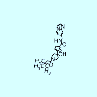 CC(C)(C)CC(=O)N1CCC(O)(c2ccc(C(=O)NCc3ccn4ccnc4c3)s2)CC1